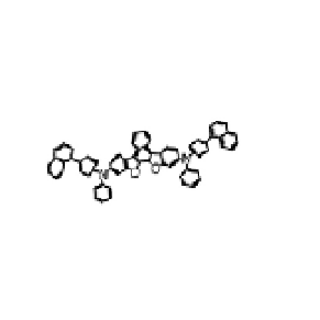 C1=CCCC(N(C2=CC3OC4C(=c5ccccc5=C5c6ccc(N(c7ccccc7)C7C=CC(c8cccc9c8C=CCC9)=CC7)cc6OC54)C3C=C2)c2ccc(-c3cccc4ccccc34)cc2)=C1